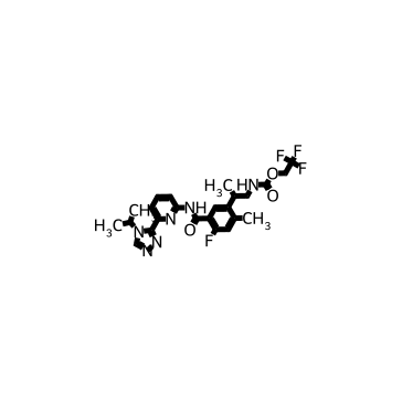 Cc1cc(F)c(C(=O)Nc2cccc(-c3nncn3C(C)C)n2)cc1C(C)CNC(=O)OCC(F)(F)F